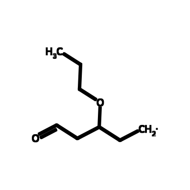 [CH2]CC(CC=O)OCCC